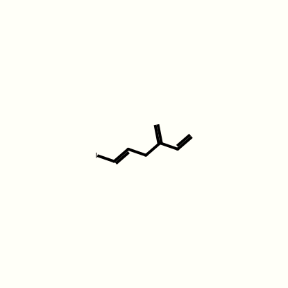 C=CC(=C)CC=CI